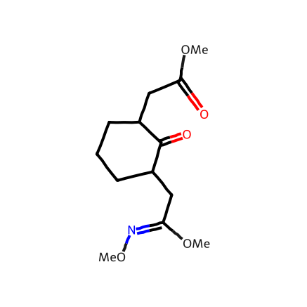 CON=C(CC1CCCC(CC(=O)OC)C1=O)OC